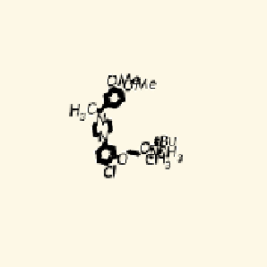 COc1ccc(C(C)N2CCN(c3ccc(Cl)c(OCCO[Si](C)(C)C(C)(C)C)c3)CC2)cc1OC